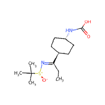 CC/C(=N\[S@@+]([O-])C(C)(C)C)[C@H]1CC[C@H](NC(=O)O)CC1